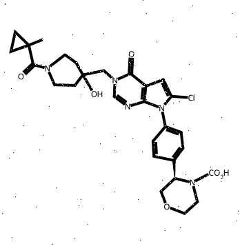 CC1(C(=O)N2CCC(O)(Cn3cnc4c(cc(Cl)n4-c4ccc([C@@H]5COCCN5C(=O)O)cc4)c3=O)CC2)CC1